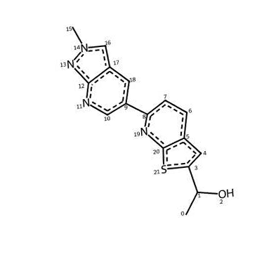 CC(O)c1cc2ccc(-c3cnc4nn(C)cc4c3)nc2s1